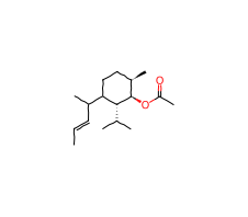 C/C=C/C(C)C1CC[C@@H](C)[C@@H](OC(C)=O)[C@@H]1C(C)C